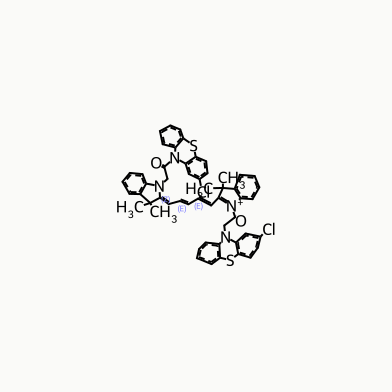 CC1(C)C(/C=C/C=C/C=C2\N(CC(=O)N3c4ccccc4Sc4ccc(Cl)cc43)c3ccccc3C2(C)C)=[N+](C(=O)CN2c3ccccc3Sc3ccc(Cl)cc32)c2ccccc21